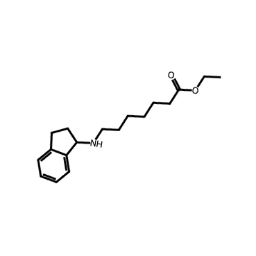 CCOC(=O)CCCCCCNC1CCc2ccccc21